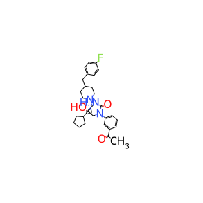 CC(=O)c1cccc(N(C[C@@](O)(CN2CCC(Cc3ccc(F)cc3)CC2)C2CCCC2)C(N)=O)c1